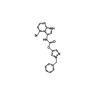 O=C(Nc1c[nH]c2nccc(Br)c12)Oc1cnn(Cc2ccccc2)c1